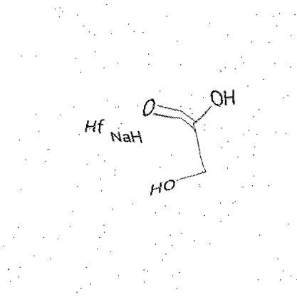 O=C(O)CO.[Hf].[NaH]